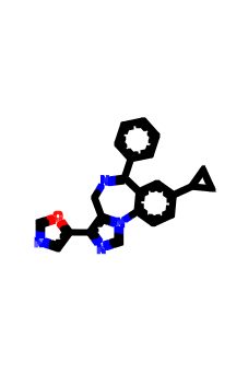 c1ccc(C2=NCc3c(-c4cnco4)ncn3-c3ccc(C4CC4)cc32)cc1